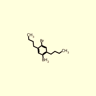 Bc1cc(CCCC)c(Br)cc1CCCC